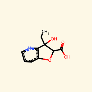 CCC1(O)c2ncccc2OC1C(=O)O